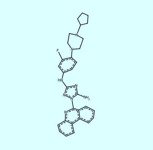 Nc1nc(Nc2ccc(N3CCN(C4CCCC4)CC3)c(F)c2)nn1-c1nc2ccccc2c2ccccc12